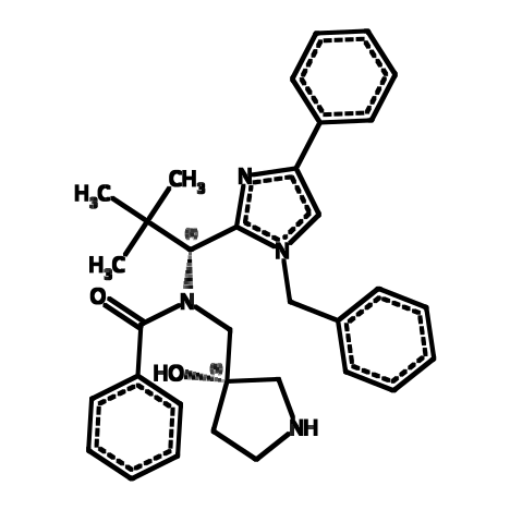 CC(C)(C)[C@H](c1nc(-c2ccccc2)cn1Cc1ccccc1)N(C[C@]1(O)CCNC1)C(=O)c1ccccc1